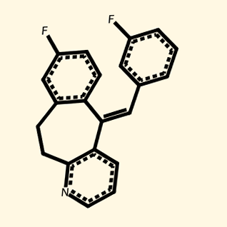 Fc1cccc(/C=C2\c3ccc(F)cc3CCc3ncccc32)c1